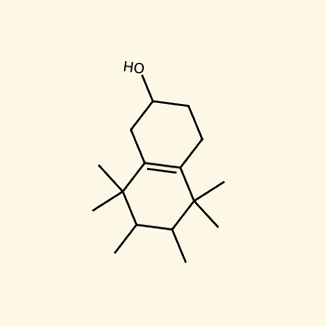 CC1C(C)C(C)(C)C2=C(CCC(O)C2)C1(C)C